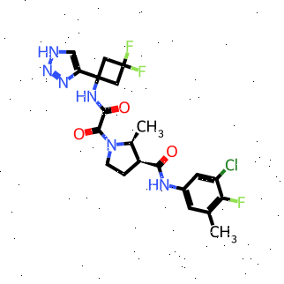 Cc1cc(NC(=O)[C@H]2CCN(C(=O)C(=O)NC3(c4c[nH]nn4)CC(F)(F)C3)[C@H]2C)cc(Cl)c1F